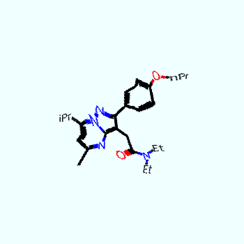 CCCOc1ccc(-c2nn3c(C(C)C)cc(C)nc3c2CC(=O)N(CC)CC)cc1